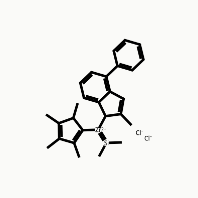 CC1=Cc2c(-c3ccccc3)cccc2[CH]1[Zr+2]([C]1=C(C)C(C)=C(C)C1C)=[Si](C)C.[Cl-].[Cl-]